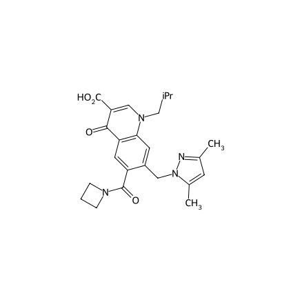 Cc1cc(C)n(Cc2cc3c(cc2C(=O)N2CCC2)c(=O)c(C(=O)O)cn3CC(C)C)n1